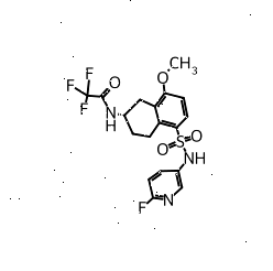 COc1ccc(S(=O)(=O)Nc2ccc(F)nc2)c2c1C[C@@H](NC(=O)C(F)(F)F)CC2